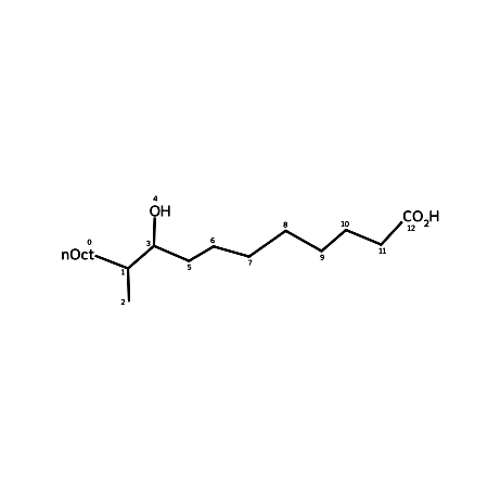 CCCCCCCCC(C)C(O)CCCCCCCC(=O)O